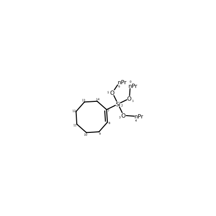 CCCO[Si](OCCC)(OCCC)/C1=C/CCCCCC1